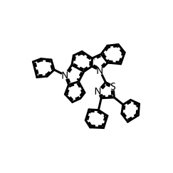 c1ccc(-c2nc(-n3c4ccccc4c4ccc5c(c6ccccc6n5-c5ccccc5)c43)sc2-c2ccccc2)cc1